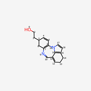 OCCC1C=CC2=C(C1)N=CC1=CCCc3ccn2c31